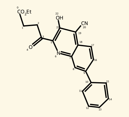 CCOC(=O)CCC(=O)c1nc2cc(-c3ccccc3)ccc2c(C#N)c1O